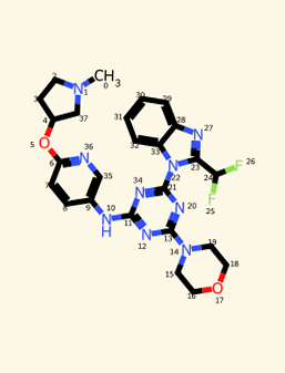 CN1CCC(Oc2ccc(Nc3nc(N4CCOCC4)nc(-n4c(C(F)F)nc5ccccc54)n3)cn2)C1